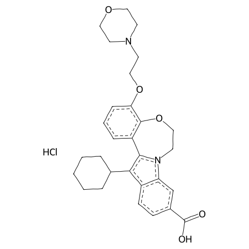 Cl.O=C(O)c1ccc2c(C3CCCCC3)c3n(c2c1)CCOc1c(OCCN2CCOCC2)cccc1-3